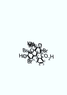 O=C(O)c1ccccc1-c1c2cc(Br)c(=O)c(Br)c-2oc2c(Br)c(O)c(Br)cc12.[KH].[KH]